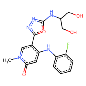 Cn1cc(-c2nnc(NC(CO)CO)o2)c(Nc2ccccc2F)cc1=O